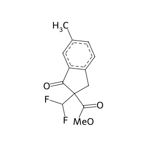 COC(=O)C1(C(F)F)Cc2ccc(C)cc2C1=O